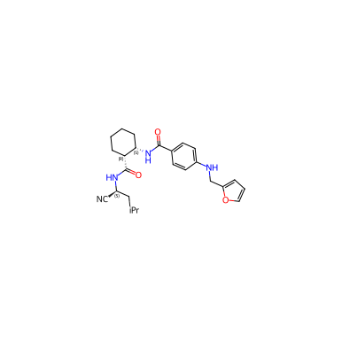 CC(C)C[C@@H](C#N)NC(=O)[C@@H]1CCCC[C@@H]1NC(=O)c1ccc(NCc2ccco2)cc1